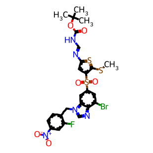 CSc1sc(/N=C/NC(=O)OC(C)(C)C)cc1S(=O)(=O)c1cc(Br)c2ncn(Cc3ccc([N+](=O)[O-])cc3F)c2c1